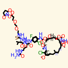 COc1cc2cc(c1Cl)N(C)C(=O)C[C@H](OC(=O)Nc1cc(F)c(NC(=O)[C@H](CCCNC(N)=O)NC(O)[C@@H](NC(=S)NCCOCCOCCC(=O)ON3C(=O)CCC3=O)C(C)C)cc1Cl)[C@]1(C)O[C@H]1[C@H](C)[C@@H]1C[C@@](O)(NC(=O)O1)[C@H](OC)/C=C/C=C(\C)C2